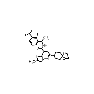 C[C@@H]1CN2N=C(N3CCC4(CC3)OCCO4)C=C(C(=O)N[C@H](C)c3cccc(C(F)F)c3F)C2=N1